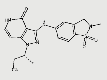 C[C@H](CC#N)n1nc(Nc2ccc3c(c2)CN(C)S3(=O)=O)c2c(=O)[nH]ccc21